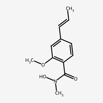 CC=Cc1ccc(C(=O)N(C)O)c(OC)c1